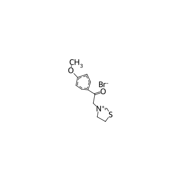 COc1ccc(C(=O)C[N+]2=CSCC2)cc1.[Br-]